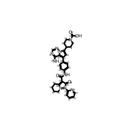 Nc1ncnn2c(C3CCN(C(=O)O)CC3)cc(-c3ccc(NC(=O)c4c5n(n(-c6ccccn6)c4=O)CCCC5)cc3)c12